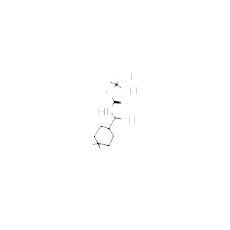 CC(NC(=O)OC(C)(C)C)C1CCC(F)(F)CC1